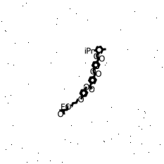 CCC1(COCCCCOc2ccc(OC(=O)c3ccc(C(=O)Oc4ccc(C(=O)OC5CC(C)CCC5C(C)C)cc4)cc3)cc2)COC1